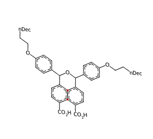 CCCCCCCCCCCCOc1ccc(C(OC(c2ccc(OCCCCCCCCCCCC)cc2)c2ccc(C(=O)O)cc2)c2ccc(C(=O)O)cc2)cc1